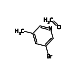 C=O.Cc1cncc(Br)c1